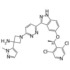 C[C@@H](Oc1ccc2[nH]nc(-c3ccc(N4CC(N)(c5ccnn5C)C4)nn3)c2c1)c1c(Cl)cncc1Cl